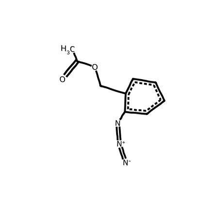 CC(=O)OCc1ccccc1N=[N+]=[N-]